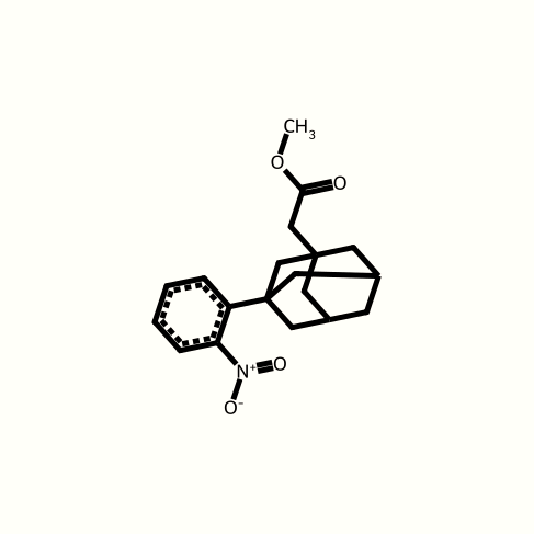 COC(=O)CC12CC3CC(C1)CC(c1ccccc1[N+](=O)[O-])(C3)C2